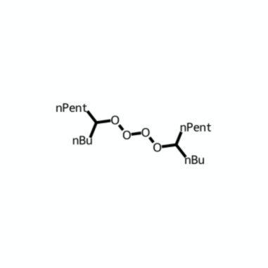 CCCCCC(CCCC)OOOOC(CCCC)CCCCC